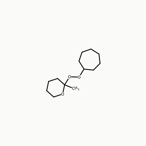 CC1(OOC2CCCCCC2)CCCCO1